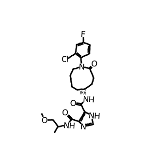 COCC(C)NC(=O)c1nc[nH]c1C(=O)N[C@@H]1CCCCN(c2ccc(F)cc2Cl)C(=O)CC1